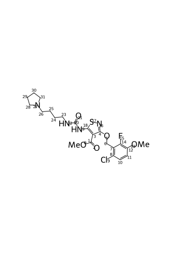 COC(=O)c1c(OCc2c(Cl)ccc(OC)c2F)nsc1NC(=O)NCCCCN1CCCC1